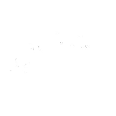 CCN(CC)C(=O)[C@@H]1C=C2c3cccc4c3c(c(Br)n4COC(=O)OC)C[C@H]2N(C)C1